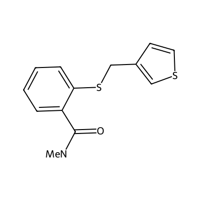 CNC(=O)c1ccccc1SCc1ccsc1